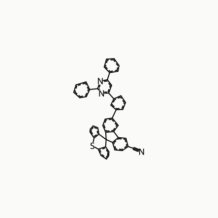 N#Cc1ccc2c(c1)-c1cc(-c3cccc(-c4cc(-c5ccccc5)nc(-c5ccccc5)n4)c3)ccc1C21c2ccccc2Sc2ccccc21